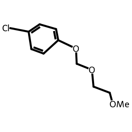 COCCOCOc1ccc(Cl)cc1